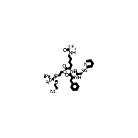 CC(C)N(C(C)C)P(OCCC#N)OCCOC(=O)C(CCCCNC(=O)C(F)(F)F)NC(=O)C(Cc1ccccc1)NC(=O)CSSc1ccccn1